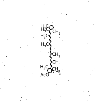 CC(=O)O[C@@H]1CC(C)=C(/C=C/C(C)=C/C=C/C(C)=C/C=C/C=C(C)/C=C/C=C(C)/C=C/C2=C(C)CCCC2(C)C)C(C)(C)C1